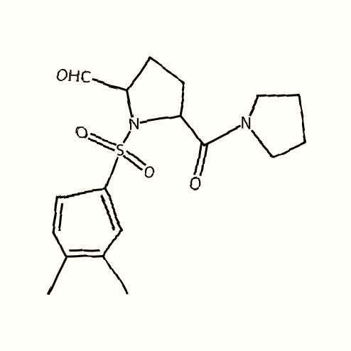 Cc1ccc(S(=O)(=O)N2C(C=O)CCC2C(=O)N2CCCC2)cc1C